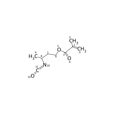 C=C(C)C(=O)OCCC(C)N=C=O